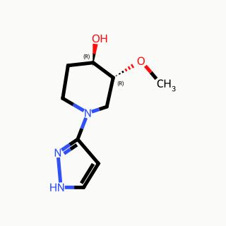 CO[C@@H]1CN(c2cc[nH]n2)CC[C@H]1O